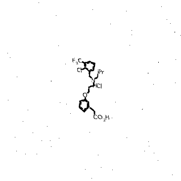 CC(C)CN(CCCOc1cccc(CC(=O)O)c1)Cc1cccc(C(F)(F)F)c1Cl.Cl